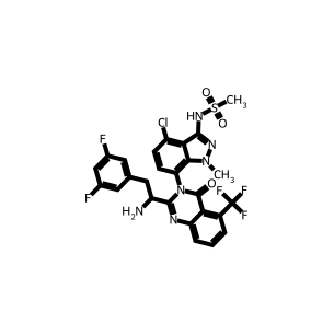 Cn1nc(NS(C)(=O)=O)c2c(Cl)ccc(-n3c(C(N)Cc4cc(F)cc(F)c4)nc4cccc(C(F)(F)F)c4c3=O)c21